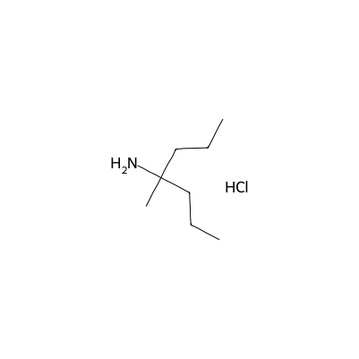 CCCC(C)(N)CCC.Cl